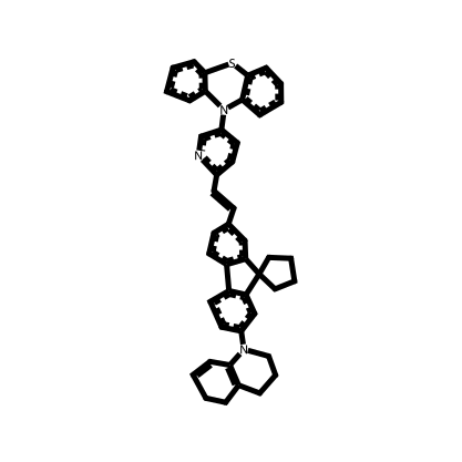 C1=CC2=C(CC1)CCCN2c1ccc2c(c1)C1(CCCC1)c1cc(/C=C/c3ccc(N4c5ccccc5Sc5ccccc54)cn3)ccc1-2